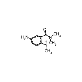 CNc1ccc(N)cc1C(=O)N(C)C